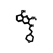 Cc1nc2c(O)cccc2cc1NCCN1CCOCC1